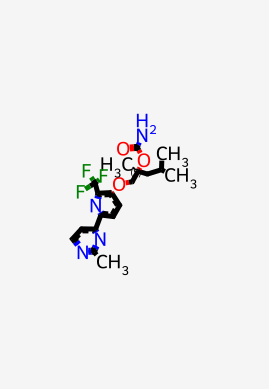 Cc1nccc(-c2ccc(OC[C@](C)(CC(C)C)OC(N)=O)c(C(F)(F)F)n2)n1